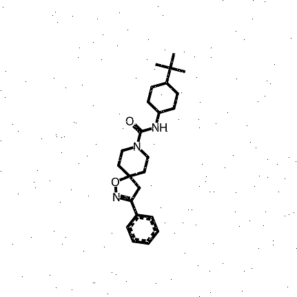 CC(C)(C)C1CCC(NC(=O)N2CCC3(CC2)CC(c2ccccc2)=NO3)CC1